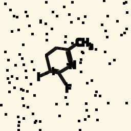 CC1=NC(F)=C(I)CC1